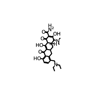 CCN(CC)Cc1ccc(O)c2c1CC1C[C@@H]3C(C(=O)C(C(N)=O)=C(O)[C@@H]3N(C)C)C(O)=C1C2=O